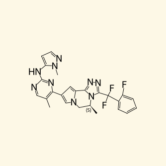 Cc1cnc(Nc2ccnn2C)nc1-c1cc2n(c1)C[C@H](C)n1c-2nnc1C(F)(F)c1ccccc1F